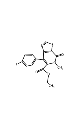 CCOC(=O)c1c(-c2ccc(F)cc2)c2ncsc2c(=O)n1C